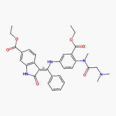 CCOC(=O)c1ccc2c(c1)NC(=O)/C2=C(/Nc1ccc(N(C)C(=O)CN(C)C)c(C(=O)OCC)c1)c1ccccc1